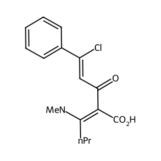 CCCC(NC)=C(C(=O)O)C(=O)C=C(Cl)c1ccccc1